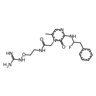 Cc1cnc(NC(F)Cc2ccccc2)c(=O)n1CC(=O)NCCONC(=N)N